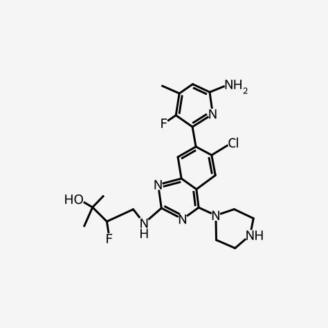 Cc1cc(N)nc(-c2cc3nc(NCC(F)C(C)(C)O)nc(N4CCNCC4)c3cc2Cl)c1F